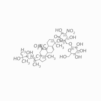 C[C@H](CC[C@@H](O)C(C)(C)O)C1CC[C@@]2(C)C3CC=C4C(CC[C@H](O[C@@H]5O[C@H](CO[C@@H]6OC(CO)[C@@H](O)[C@H](O)[C@H]6O)[C@@H](O)[C@H]([N+](=O)[O-])[C@H]5O)C4(C)C)[C@]3(C)[C@H]([N+](=O)[O-])C[C@]12C